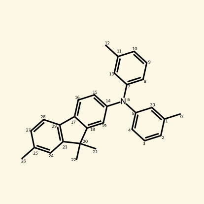 Cc1cccc(N(c2cccc(C)c2)c2ccc3c(c2)C(C)(C)c2cc(C)ccc2-3)c1